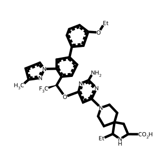 CCOc1cccc(-c2ccc([C@@H](Oc3cc(N4CCC5(CC4)CC(C(=O)O)NC5CC)nc(N)n3)C(F)(F)F)c(-n3ccc(C)n3)c2)c1